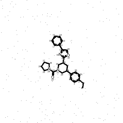 CCc1ccc(C2CC(c3nc(-c4ccccc4)co3)CN(C(=O)N3CCCC3)C2)cc1